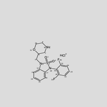 Cl.O=S1(=O)N(CC2CNCCO2)c2ccccc2N1c1c(F)cccc1F